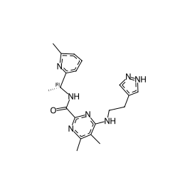 Cc1cccc([C@@H](C)NC(=O)c2nc(C)c(C)c(NCCc3cn[nH]c3)n2)n1